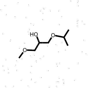 COCC(O)COC(C)C